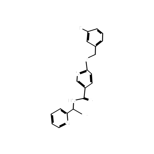 O=C(NC(c1ccccn1)C(F)(F)F)c1ccc(OCc2cccc(F)c2)nc1